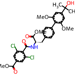 COC(=O)c1cc(Cl)c(C(=O)N[C@@H](Cc2ccc(-c3c(OC)cc(C(C)(C)O)cc3OC)cc2)C(=O)OC)c(Cl)c1